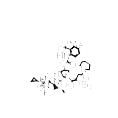 C=C[C@@H]1C[C@]1(NC(=O)[C@@H]1C[C@@H](OC(=O)Nc2ccccc2C(=O)OC)CN1C(=O)[C@@H](CC(=O)N1CCCCC1)C(C)(C)C)C(=O)NS(=O)(=O)C1CC1